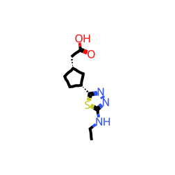 CCNc1nnc([C@@H]2CC[C@H](CC(=O)O)C2)s1